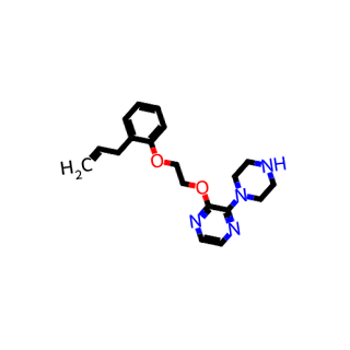 C=CCc1ccccc1OCCOc1nccnc1N1CCNCC1